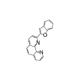 c1ccc2oc(-c3ccc4ccc5cccnc5c4n3)cc2c1